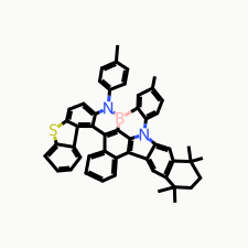 Cc1ccc(N2B3c4cc(C)ccc4-n4c5cc6c(cc5c5c7ccccc7c(c3c54)-c3c2ccc2sc4ccccc4c32)C(C)(C)CCC6(C)C)cc1